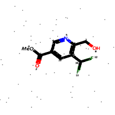 COC(=O)c1cnc(CO)c(C(F)F)c1